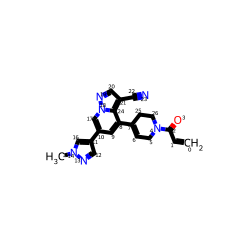 C=CC(=O)N1CC=C(c2cc(-c3cnn(C)c3)cn3ncc(C#N)c23)CC1